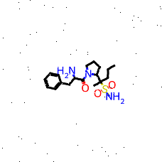 CCCC(C)(C1CCCN1C(=O)C(N)Cc1ccccc1)S(N)(=O)=O